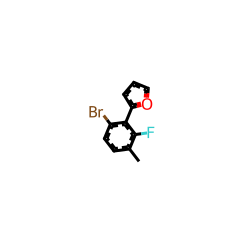 Cc1ccc(Br)c(-c2ccco2)c1F